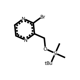 CC(C)(C)[Si](C)(C)OCc1nccnc1Br